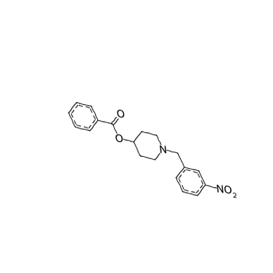 O=C(OC1CCN(Cc2cccc([N+](=O)[O-])c2)CC1)c1ccccc1